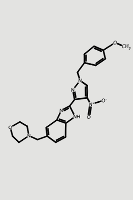 COc1ccc(Cn2cc([N+](=O)[O-])c(-c3nc4cc(CN5CCOCC5)ccc4[nH]3)n2)cc1